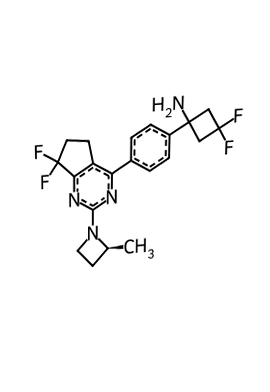 C[C@H]1CCN1c1nc(-c2ccc(C3(N)CC(F)(F)C3)cc2)c2c(n1)C(F)(F)CC2